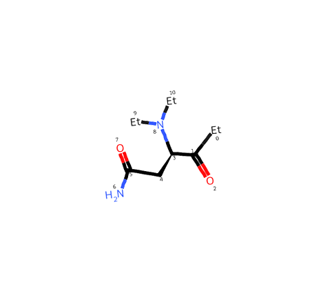 CCC(=O)[C@@H](CC(N)=O)N(CC)CC